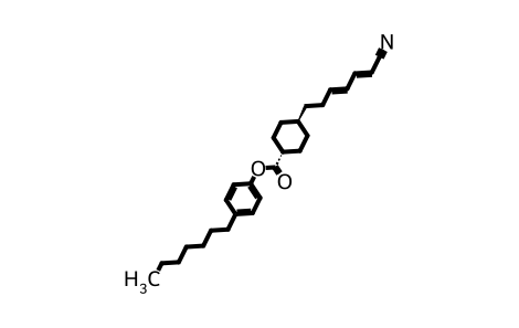 CCCCCCCc1ccc(OC(=O)[C@H]2CC[C@H](CCC=CC=CC#N)CC2)cc1